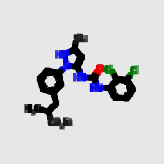 CCOC(=O)C(C)Cc1cccc(N2NC(C(C)(C)C)C=C2NC(=O)Nc2cccc(Cl)c2Cl)c1